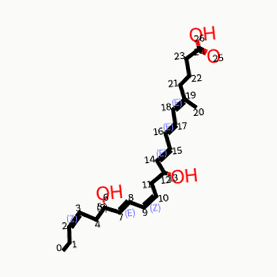 CC/C=C\C[C@H](O)/C=C/C=C\CC(O)/C=C/C=C/C=C(\C)CCCC(=O)O